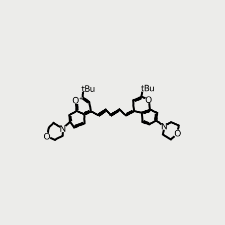 CC(C)(C)C1=C\C(=C/C=C/C=C/c2cc(C(C)(C)C)[o+]c3cc(N4CCOCC4)ccc23)c2ccc(N3CCOCC3)cc2O1